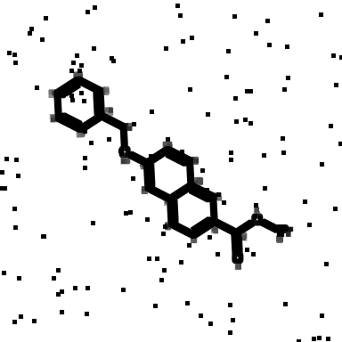 CC(C)OC(=O)c1ccc2cc(OCc3ccccc3)ccc2c1